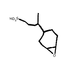 CC(CS(=O)(=O)O)C1CCC2OC2C1